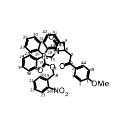 COc1ccc(C(=O)CC2CC(=O)N2CP(C(=O)OCc2ccccc2[N+](=O)[O-])(c2ccccc2)(c2ccccc2)c2ccccc2)cc1